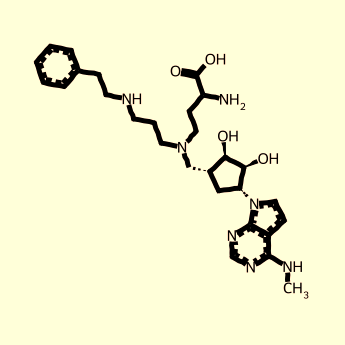 CNc1ncnc2c1ccn2[C@@H]1C[C@H](CN(CCCNCCc2ccccc2)CCC(N)C(=O)O)[C@@H](O)[C@H]1O